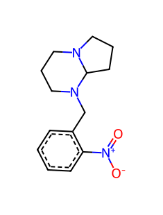 O=[N+]([O-])c1ccccc1CN1CCCN2CCCC21